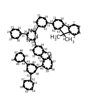 CC1(C)c2ccccc2-c2ccc(-c3cccc(-c4nc(-c5ccccc5)nc(-c5ccc6c(c5)oc5cccc(-c7cc(-c8ccccc8)cc(-c8ccccc8)c7)c56)n4)c3)cc21